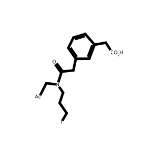 CC(=O)CN(CCCI)C(=O)Cc1cccc(CC(=O)O)c1